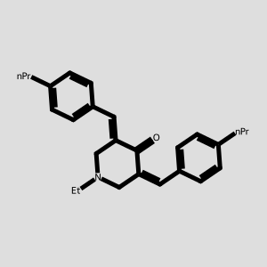 CCCc1ccc(/C=C2/CN(CC)C/C(=C\c3ccc(CCC)cc3)C2=O)cc1